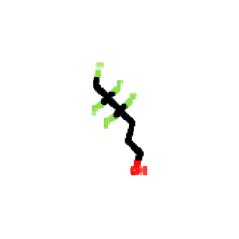 OCCCC(F)(F)C(F)(F)CF